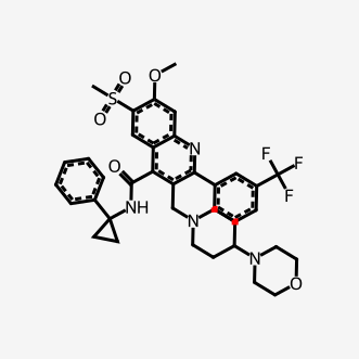 COc1cc2nc(-c3cccc(C(F)(F)F)c3)c(CN3CCC(N4CCOCC4)CC3)c(C(=O)NC3(c4ccccc4)CC3)c2cc1S(C)(=O)=O